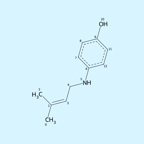 CC(C)=CCNc1ccc(O)cc1